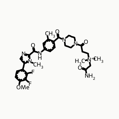 COc1ccc(-c2cnc(C(=O)Nc3ccc(C(=O)N4CCN(C(=O)CC[N+](C)(C)CC(N)=O)CC4)c(C)c3)n2C)c(F)c1F